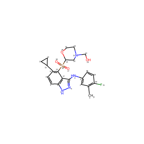 Cc1cc(Nc2n[nH]c3ccc(C4CC4)c(S(=O)(=O)C4CN(CO)CCO4)c23)ccc1F